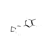 CC(=O)Nc1cc(OC[C@@H]2CCN2C)cnc1F